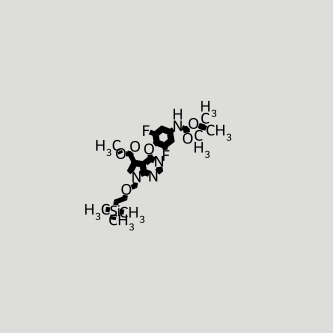 COC(=O)c1cn(COCC[Si](C)(C)C)c2ncnc(Oc3c(F)cc(NC(=O)OC(C)(C)C)cc3F)c12